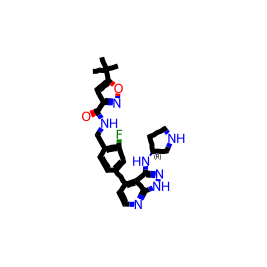 CC(C)(C)c1cc(C(=O)NCc2ccc(-c3ccnc4[nH]nc(N[C@@H]5CCNC5)c34)cc2F)no1